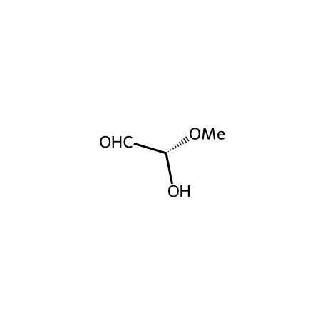 CO[C@H](O)C=O